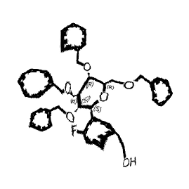 OCc1ccc(F)c([C@@H]2O[C@H](COCc3ccccc3)[C@@H](OCc3ccccc3)[C@H](OCc3ccccc3)[C@H]2OCc2ccccc2)c1